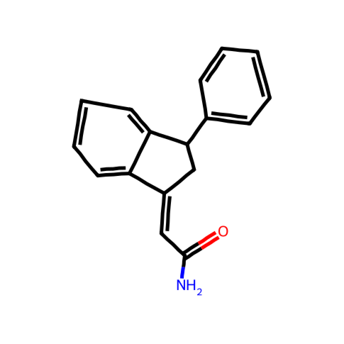 NC(=O)C=C1CC(c2ccccc2)c2ccccc21